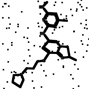 CNc1cc(C)nc(NC2=CN3CC(C)N=C3C(OCCCN3CCCC3)=C2)n1